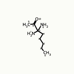 CCCCCC(N)(N)C(C)=O